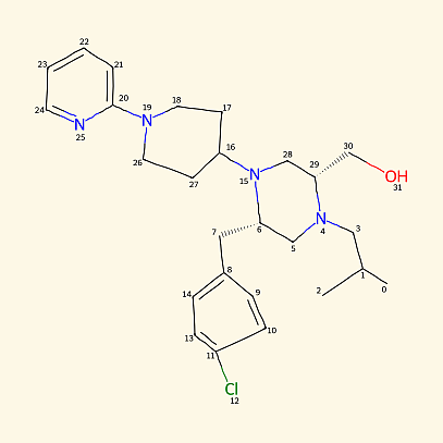 CC(C)CN1C[C@H](Cc2ccc(Cl)cc2)N(C2CCN(c3ccccn3)CC2)C[C@@H]1CO